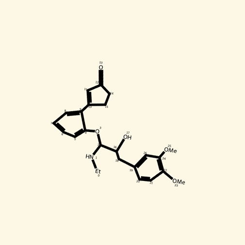 CCNC(Oc1ccccc1C1=CC(=O)CC1)C(O)Cc1ccc(OC)c(OC)c1